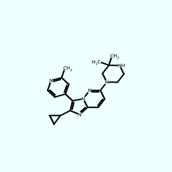 Cc1cc(-c2c(C3CC3)nc3ccc(N4CCNC(C)(C)C4)nn23)ccn1